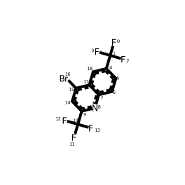 FC(F)(F)c1ccc2nc(C(F)(F)F)cc(Br)c2c1